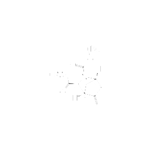 C=C1C[C@@H]2C[C@H]1[C@@H](C(=O)OC)N2C(=O)OC(C)(C)C